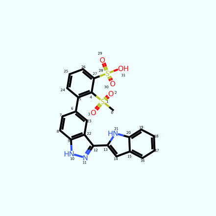 CS(=O)(=O)c1c(-c2ccc3[nH]nc(-c4cc5ccccc5[nH]4)c3c2)cccc1S(=O)(=O)O